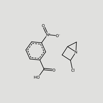 ClC1CC2CN12.O=C(O)c1cccc([N+](=O)[O-])c1